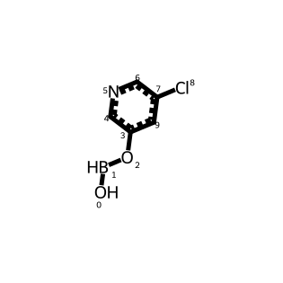 OBOc1cncc(Cl)c1